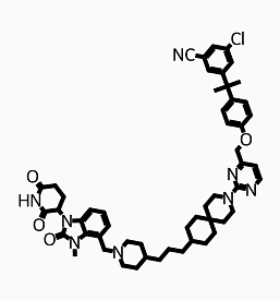 Cn1c(=O)n(C2CCC(=O)NC2=O)c2cccc(CN3CCC(CCCC4CCC5(CC4)CCN(c4nccc(COc6ccc(C(C)(C)c7cc(Cl)cc(C#N)c7)cc6)n4)CC5)CC3)c21